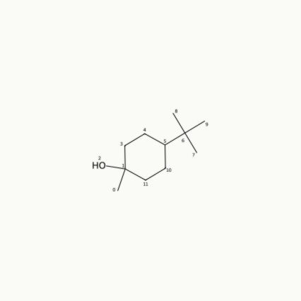 CC1(O)CCC(C(C)(C)C)CC1